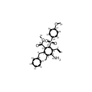 C=Cc1c(N)c(C)c(Cc2ccccc2)c(C(=O)OC)c1S(=O)(=O)c1ccc(OC)cc1